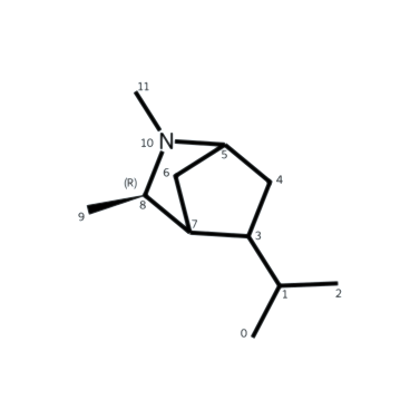 CC(C)C1CC2CC1[C@@H](C)N2C